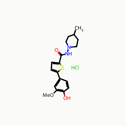 COc1cc(-c2ccc(C(=O)NN3CCC(C)CC3)s2)ccc1O.Cl